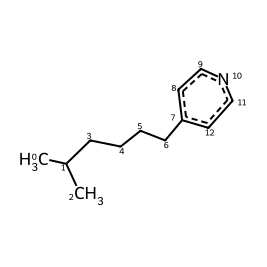 CC(C)CCCCc1ccncc1